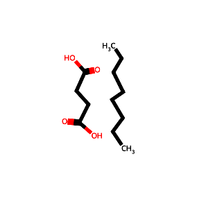 CCCCCCCC.O=C(O)CCC(=O)O